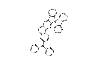 c1ccc(N(c2ccccc2)c2ccc3c(ccc4cc5c(cc43)C3(c4ccccc4-c4ccccc43)c3ccccc3-5)c2)cc1